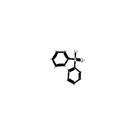 [Li][P](=O)(c1ccccc1)c1ccccc1